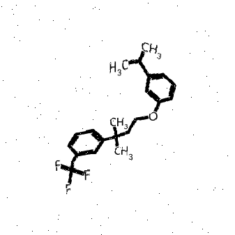 CC(C)c1cccc(OCCC(C)(C)c2cccc(C(F)(F)F)c2)c1